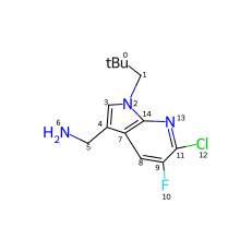 CC(C)(C)Cn1cc(CN)c2cc(F)c(Cl)nc21